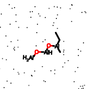 C[CH2][Al]([CH3])[O][AlH][O][AlH2]